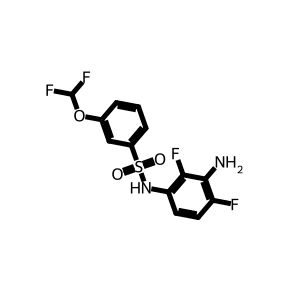 Nc1c(F)ccc(NS(=O)(=O)c2cccc(OC(F)F)c2)c1F